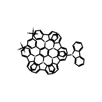 FC(F)(F)c1cc(-c2c(-n3c4ccccc4c4ccccc43)c(-n3c4ccccc4c4ccccc43)c(-n3c4ccccc4c4cc(-n5c6ccccc6c6ccccc65)ccc43)c(-n3c4ccccc4c4ccccc43)c2-n2c3ccccc3c3ccccc32)cc(C(F)(F)F)c1